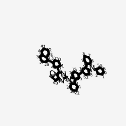 c1ccc(-n2c3ccccc3c3cc(-c4ccc5c(c4)c4ccccc4n5-c4nc(-c5cccc(-c6cccc7ccccc67)c5)c5occc5n4)ccc32)cc1